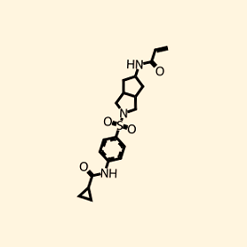 C=CC(=O)NC1CC2CN(S(=O)(=O)c3ccc(NC(=O)C4CC4)cc3)CC2C1